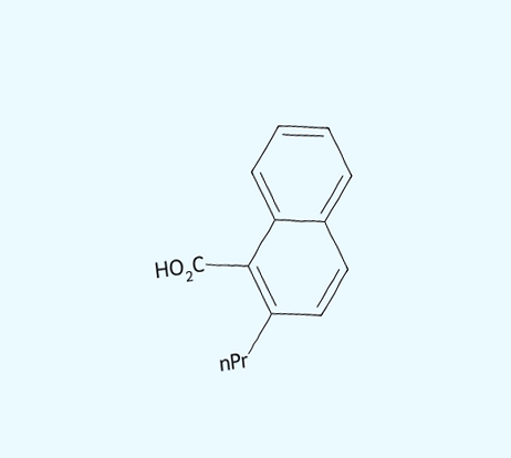 C[CH]Cc1ccc2ccccc2c1C(=O)O